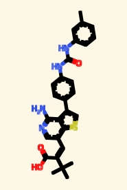 Cc1cccc(NC(=O)Nc2ccc(-c3csc4c(C=C(C(=O)O)C(C)(C)C)cnc(N)c34)cc2)c1